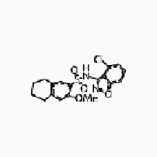 COc1cc2c(cc1S(=O)(=O)Nc1noc3cccc(Cl)c13)CCCC2